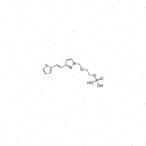 O=P(O)(O)OCCOCn1ccc(/C=C/c2cccs2)n1